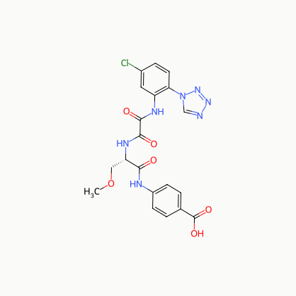 COC[C@H](NC(=O)C(=O)Nc1cc(Cl)ccc1-n1cnnn1)C(=O)Nc1ccc(C(=O)O)cc1